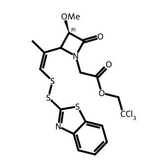 CO[C@H]1C(=O)N(CC(=O)OCC(Cl)(Cl)Cl)C1C(C)=CSSc1nc2ccccc2s1